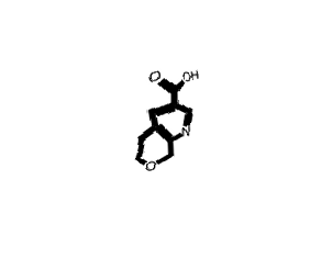 O=C(O)c1cnc2c(c1)CCOC2